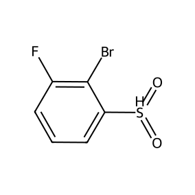 O=[SH](=O)c1cccc(F)c1Br